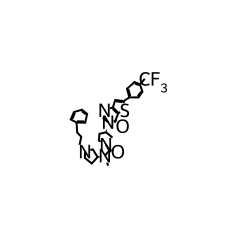 CN(C(=O)N1CC[C@H](n2cnc3cc(-c4ccc(C(F)(F)F)cc4)sc3c2=O)C1)[C@H]1CCN(CCCc2ccccc2)C1